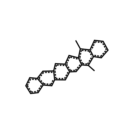 Cc1c2ccccc2c(C)c2cc3cc4cc5ccccc5cc4cc3cc12